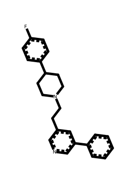 Fc1ccc(C2CCN(CCc3cncc(-c4ccccc4)c3)CC2)cc1